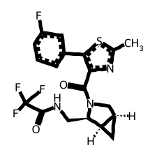 Cc1nc(C(=O)N2C[C@H]3C[C@H]3[C@H]2CNC(=O)C(F)(F)F)c(-c2cccc(F)c2)s1